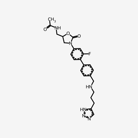 CC(=O)NCC1CN(c2ccc(-c3ccc(CNCCCc4cnn[nH]4)cc3)c(F)c2)C(=O)O1